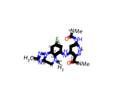 CNC(=O)Nc1cc(Nc2cc(F)cc3c2N(C)Cc2nc(C)nn2-3)c(C(=O)NC)nn1